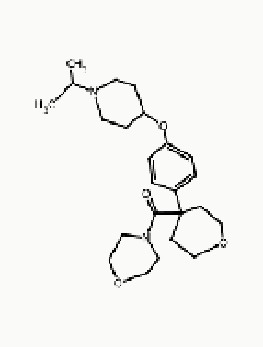 CC(C)N1CCC(Oc2ccc(C3(C(=O)N4CCOCC4)CCOCC3)cc2)CC1